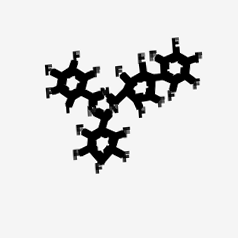 Fc1c(F)c(F)c(-c2nc(-c3c(F)c(F)c(-c4c(F)c(F)c(F)c(F)c4F)c(F)c3F)nc(-c3c(F)c(F)c(F)c(F)c3I)n2)c(F)c1F